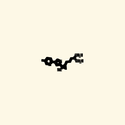 Cc1ccc(-n2cnc(C3(C#N)CC3CCCN(C(=O)O)C(=O)O)c2)nc1